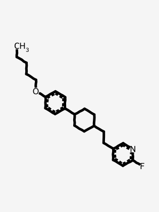 CCCCCOc1ccc(C2CCC(CCc3ccc(F)nc3)CC2)cc1